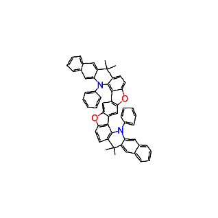 CC1(C)c2cc3ccccc3cc2N(c2ccccc2)c2c1ccc1oc3cc4c(cc3c21)oc1ccc2c(c14)N(c1ccccc1)c1cc3ccccc3cc1C2(C)C